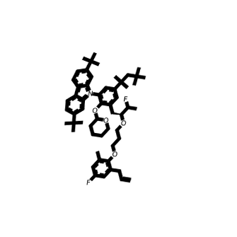 C=CCc1cc(F)cc(C)c1OCCCO[C@@H](Cc1cc(C(C)(C)CC(C)(C)C)cc(-n2c3cc(C(C)(C)C)ccc3c3ccc(C(C)(C)C)cc32)c1OC1CCCCO1)C(C)F